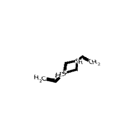 C=C[SH]1C[SH](C=C)C1